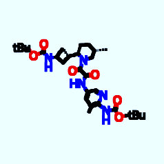 Cc1cc(NC(=O)C(=O)N2C[C@@H](C)CC[C@@H]2[C@H]2C[C@H](NC(=O)OC(C)(C)C)C2)cnc1NC(=O)OC(C)(C)C